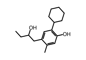 CCC(O)Cc1cc(C2CCCCC2)c(O)cc1C